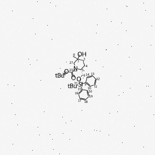 CC1(O)CC[C@H](CO[Si](c2ccccc2)(c2ccccc2)C(C)(C)C)N(C(=O)OC(C)(C)C)C1